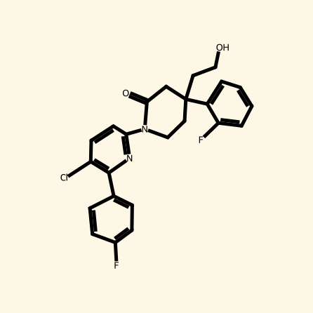 O=C1CC(CCO)(c2ccccc2F)CCN1c1ccc(Cl)c(-c2ccc(F)cc2)n1